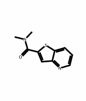 CN(C)C(=O)c1cc2ncccc2s1